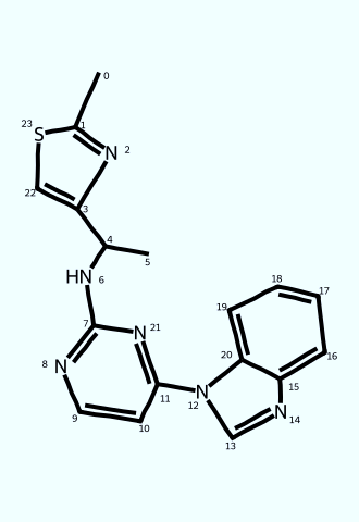 Cc1nc(C(C)Nc2nccc(-n3cnc4ccccc43)n2)cs1